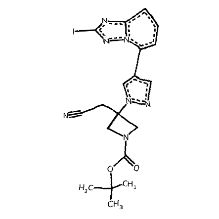 CC(C)(C)OC(=O)N1CC(CC#N)(n2cc(-c3cccc4nc(I)nn34)cn2)C1